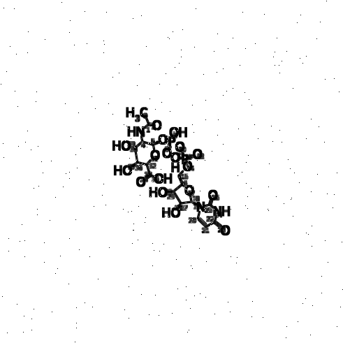 CC(=O)NC1[C@@H](O[P@@](=O)(O)O[P@@](=O)(O)OC[C@H]2O[C@@H](n3ccc(=O)[nH]c3=O)[C@@H](O)C2O)OC(C(=O)O)[C@@H](O)[C@@H]1O